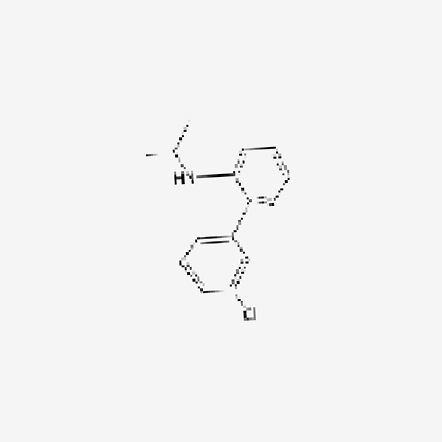 CC(C)Nc1ccccc1-c1cccc(Cl)c1